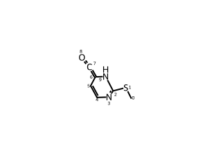 CSC1=NC=CC(=C=O)N1